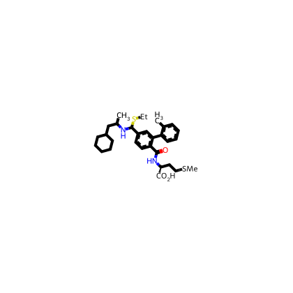 CCSC(NC(C)CC1CCCCC1)c1ccc(C(=O)N[C@@H](CCSC)C(=O)O)c(-c2ccccc2C)c1